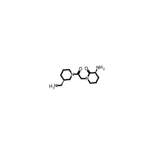 NC[C@H]1CCCN(C(=O)CN2CCC[C@H](N)C2=O)C1